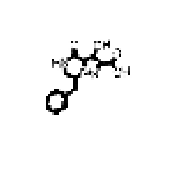 O=C(O)c1nn2c(c1O)C(=O)NCC2Cc1ccccc1